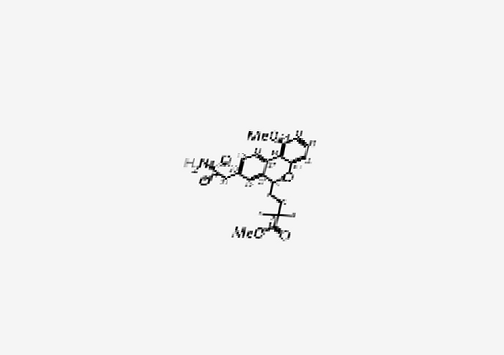 COC(=O)C(C)(C)CCC1Oc2cccc(OC)c2-c2ccc(CS(N)(=O)=O)cc21